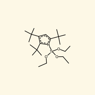 CC[O][Ti]([O]CC)([O]CC)[n]1c(C(C)(C)C)cc(C(C)(C)C)c1C(C)(C)C